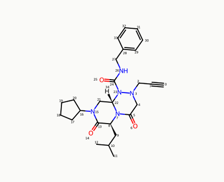 C#CCN1CC(=O)N2[C@@H](CC(C)C)C(=O)N(C3CCCC3)C[C@@H]2N1C(=O)NCc1ccccc1